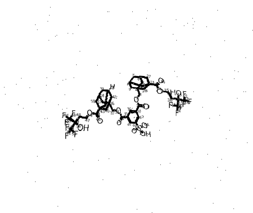 O=C(OCC12CC3CC(C1)CC(C(=O)OCCC(O)(C(F)(F)F)C(F)(F)F)(C3)C2)c1cc(C(=O)OCC23CC4C[C@@H](C2)CC(C(=O)OCCC(O)(C(F)(F)F)C(F)(F)F)(C4)C3)cc(S(=O)(=O)O)c1